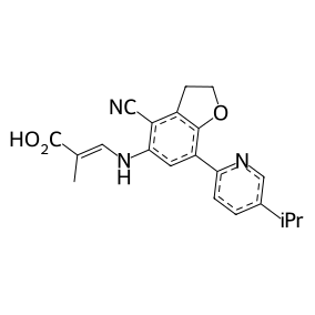 CC(=CNc1cc(-c2ccc(C(C)C)cn2)c2c(c1C#N)CCO2)C(=O)O